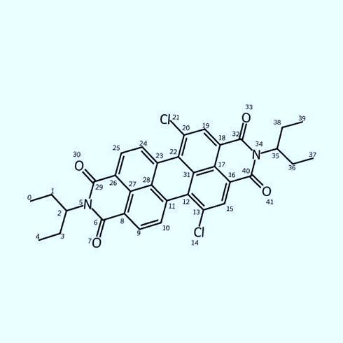 CCC(CC)N1C(=O)c2ccc3c4c(Cl)cc5c6c(cc(Cl)c(c7ccc(c2c37)C1=O)c64)C(=O)N(C(CC)CC)C5=O